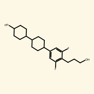 CCCC1CCC(C2CCC(c3cc(F)c(CCCO)c(F)c3)CC2)CC1